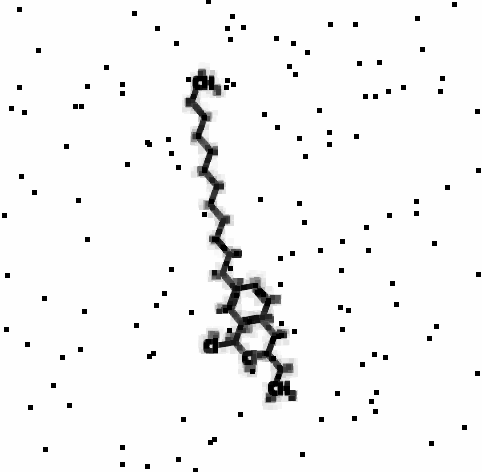 CCCCCCCCCCCCc1ccc(CCCC)c(C(Cl)Cl)c1